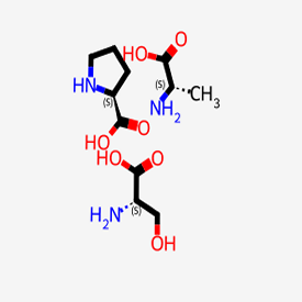 C[C@H](N)C(=O)O.N[C@@H](CO)C(=O)O.O=C(O)[C@@H]1CCCN1